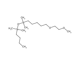 CCCC[Si](C)(C)O[Si](C)(C)CCCCCOCCOC